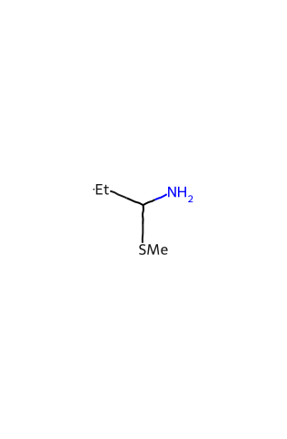 C[CH]C(N)SC